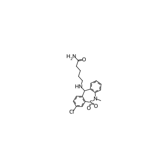 CN1c2ccccc2C(NCCCCC(N)=O)c2ccc(Cl)cc2S1(=O)=O